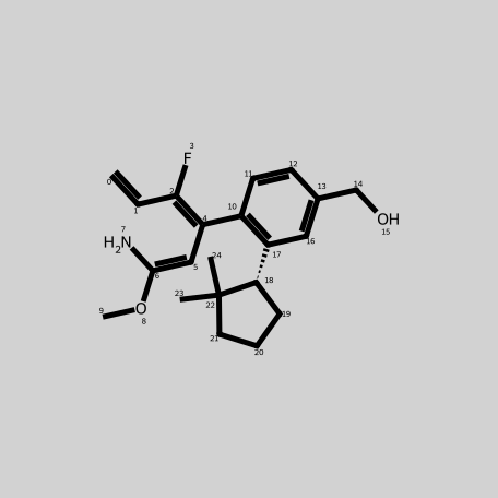 C=C/C(F)=C(\C=C(/N)OC)c1ccc(CO)cc1[C@@H]1CCCC1(C)C